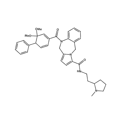 COC1(OC)C=C(C(=O)N2Cc3ccc(C(=O)NCCC4CCCN4C)n3Cc3ccccc32)C=CC1c1ccccc1